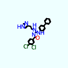 O=C(/N=C(/NCCc1c[nH]cn1)Nc1ccc(-c2ccccc2)cc1)c1ccc(Cl)c(Cl)c1